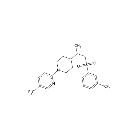 CC(CS(=O)(=O)c1cccc(C(F)(F)F)c1)C1CCN(c2ccc(C(F)(F)F)cn2)CC1